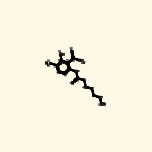 CCCOCCOCC(=O)Oc1ccc(N)c(O)c1C(N)=O